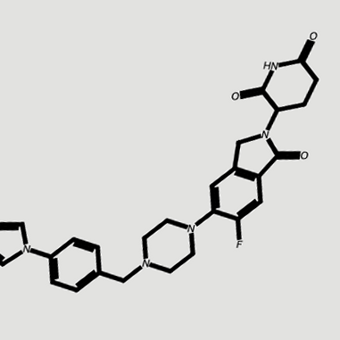 O=C1CCC(N2Cc3cc(N4CCN(Cc5ccc(-n6ccnc6)cc5)CC4)c(F)cc3C2=O)C(=O)N1